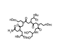 CCCCCCCCCCCCN(CC(=O)N(CC(=O)N(CCCCCCCCCCCC)CC(=O)N(CC(N)=O)CC(CC)CCCC)CC(CC)CCCC)C(=O)CNC(CO)CO